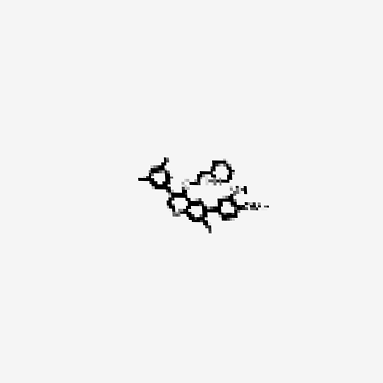 COc1ccc(-c2cc3c(OCCC4CCCCN4)c(-c4cc(C)cc(C)c4)cnc3cc2I)cc1O